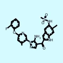 Cc1cc2[nH]c(C(=O)c3cnn(-c4cnc(Oc5ccccc5F)cc4C)c3N)cc2cc1NS(C)(=O)=O